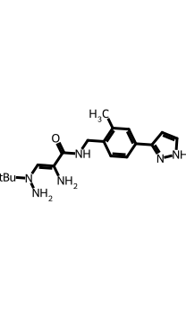 Cc1cc(-c2cc[nH]n2)ccc1CNC(=O)/C(N)=C/N(N)C(C)(C)C